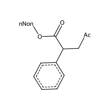 CCCCCCCCCOC(=O)C(CC(C)=O)c1ccccc1